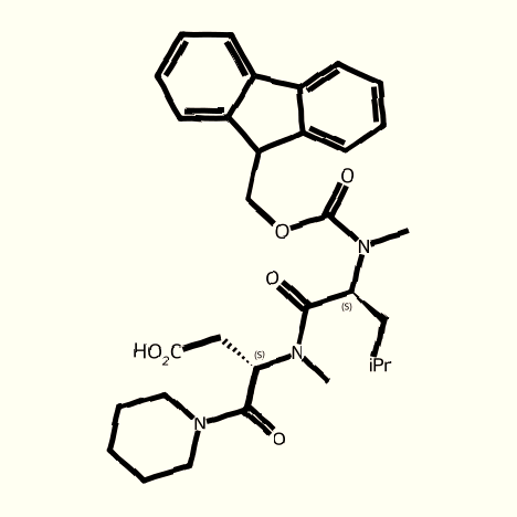 CC(C)C[C@@H](C(=O)N(C)[C@@H](CC(=O)O)C(=O)N1CCCCC1)N(C)C(=O)OCC1c2ccccc2-c2ccccc21